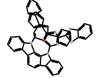 c1ccc(-c2cc(-c3ccccc3)cc(-n3c4ccccc4c4ccc5c6ccccc6n(-c6nc(-c7ccccc7)nc(-c7nc8ccccc8o7)n6)c5c43)c2)cc1